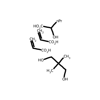 C=CC(=O)O.C=CC(=O)O.CC(C)(CO)CO.CCCC(O)C(=O)O